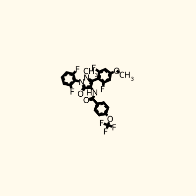 COc1cc(F)c(-c2c(NC(=O)c3ccc(OC(F)(F)F)cc3)c(=O)n(-c3c(F)cccc3F)n2C)c(F)c1